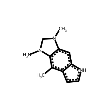 Cc1c2c(cc3[nH]ccc13)N(C)CN2N